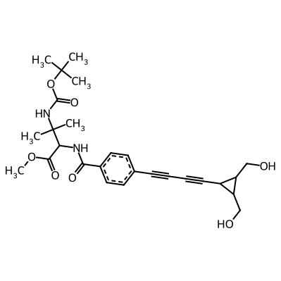 COC(=O)C(NC(=O)c1ccc(C#CC#CC2C(CO)C2CO)cc1)C(C)(C)NC(=O)OC(C)(C)C